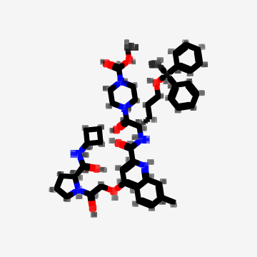 CCCCOC(=O)N1CCN(C(=O)[C@H](CCCO[Si](c2ccccc2)(c2ccccc2)C(C)(C)C)NC(=O)c2cc(OCC(=O)N3CCC[C@H]3C(=O)NC3CCC3)c3ccc(C)cc3n2)CC1